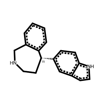 c1ccc2c(c1)CNCC[C@H]2c1ccc2[nH]ccc2c1